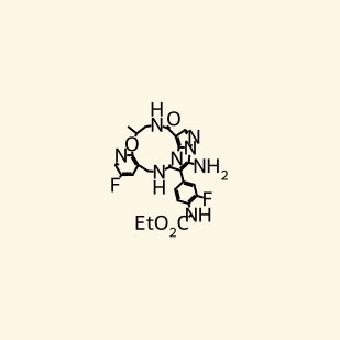 CCOC(=O)Nc1ccc(-c2c3nc4c(cnn4c2N)C(=O)NCC(C)Oc2ncc(F)cc2CN3)cc1F